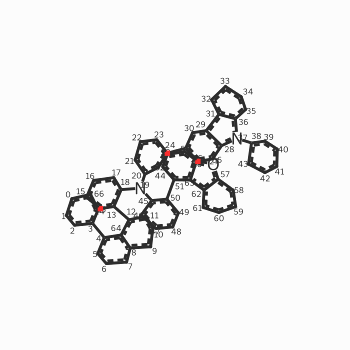 c1ccc(-c2cccc3cccc(-c4ccccc4N(c4cccc(-c5ccc6c(c5)c5ccccc5n6-c5ccccc5)c4)c4ccccc4-c4cccc5oc6ccccc6c45)c23)cc1